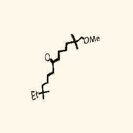 CCC(C)(C)CCCCC(=O)CCCCC(C)(C)COC